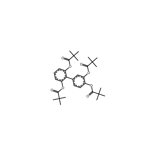 CC(C)(C)C(=O)Oc1ccc(-c2c(OC(=O)C(C)(C)C)c[c]cc2OC(=O)C(C)(C)C)cc1OC(=O)C(C)(C)C